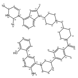 [2H]C1C=CN(c2cccc3c2cc(C)n3C2CCN(CC3CCN(C(=O)c4cc(C)c(C5CN(c6cc(-c7ccccc7O)nnc6N)CCO5)cc4C)CC3)CC2)C([2H])N1